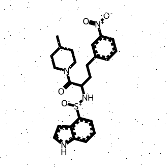 CC1CCN(C(=O)C(CCc2cccc([N+](=O)[O-])c2)N[S+]([O-])c2cccc3[nH]ccc23)CC1